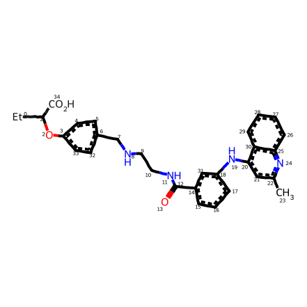 CCC(Oc1ccc(CNCCNC(=O)c2cccc(Nc3cc(C)nc4ccccc34)c2)cc1)C(=O)O